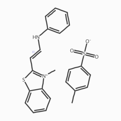 C[n+]1c(/C=C/Nc2ccccc2)sc2ccccc21.Cc1ccc(S(=O)(=O)[O-])cc1